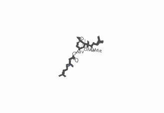 COC(CC=C(C)C)C(C)(C)[C@@]1(C)[C@H](OC)C(NOC(=O)C/C(C)=C/CC=C(C)C)CC[C@]12CO2